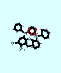 Cc1cc(P(c2ccccc2)c2ccccc2)c2c(c1C)Cc1cccc(P(c3ccccc3)c3ccccc3)c1O2